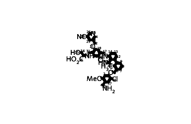 COc1cc(OCc2cccc(-c3cccc(NCc4cc(OCc5cncc(C#N)c5)c(CNC(CO)C(=O)O)cc4Cl)c3C=N)c2C)c(Cl)cc1CN